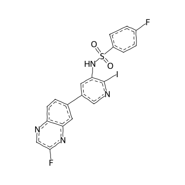 O=S(=O)(Nc1cc(-c2ccc3ncc(F)nc3c2)cnc1I)c1ccc(F)cc1